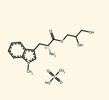 CS(=O)(=O)O.Cn1cc(C[C@@H](N)C(=O)OCC(O)CO)c2ccccc21